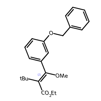 CCOC(=O)/C(=C(\OC)c1cccc(OCc2ccccc2)c1)C(C)(C)C